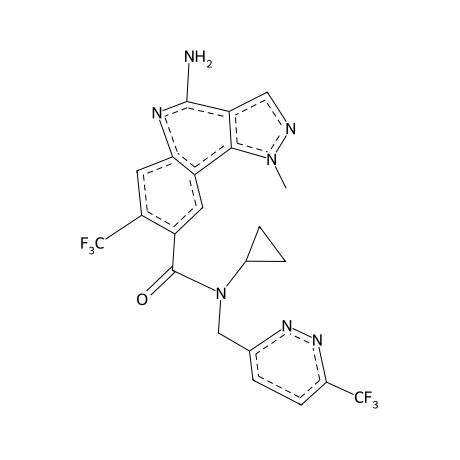 Cn1ncc2c(N)nc3cc(C(F)(F)F)c(C(=O)N(Cc4ccc(C(F)(F)F)nn4)C4CC4)cc3c21